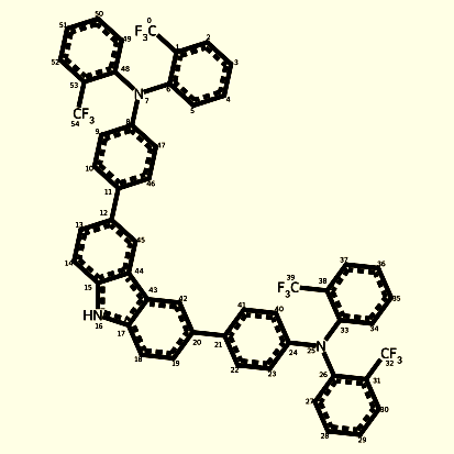 FC(F)(F)c1ccccc1N(c1ccc(-c2ccc3[nH]c4ccc(-c5ccc(N(c6ccccc6C(F)(F)F)c6ccccc6C(F)(F)F)cc5)cc4c3c2)cc1)c1ccccc1C(F)(F)F